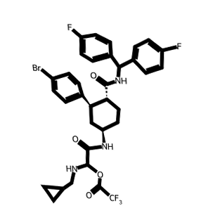 O=C(N[C@@H]1CC[C@@H](C(=O)NC(c2ccc(F)cc2)c2ccc(F)cc2)[C@H](c2ccc(Br)cc2)C1)C(NCC1CC1)OC(=O)C(F)(F)F